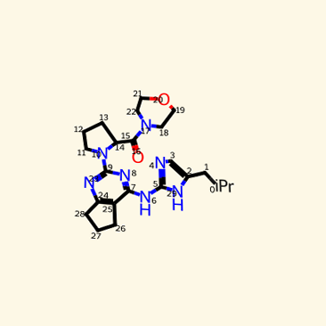 CC(C)Cc1cnc(Nc2nc(N3CCCC3C(=O)N3CCOCC3)nc3c2CCC3)[nH]1